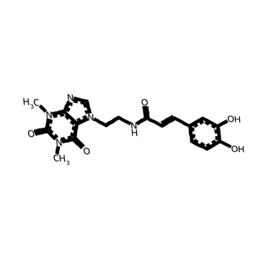 Cn1c(=O)c2c(ncn2CCNC(=O)C=Cc2ccc(O)c(O)c2)n(C)c1=O